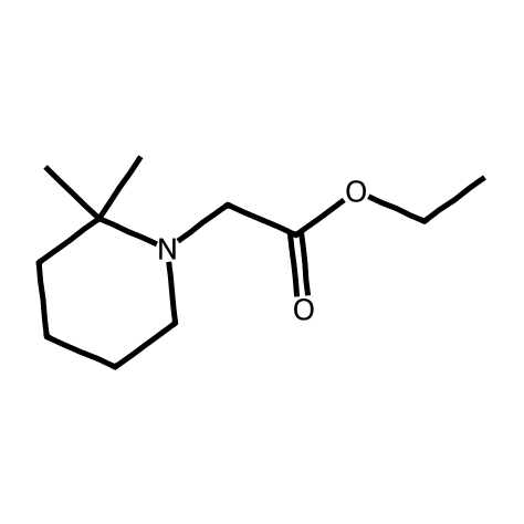 CCOC(=O)CN1CCCCC1(C)C